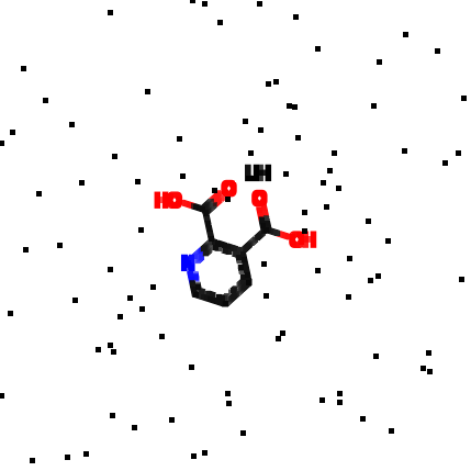 O=C(O)c1cccnc1C(=O)O.[LiH]